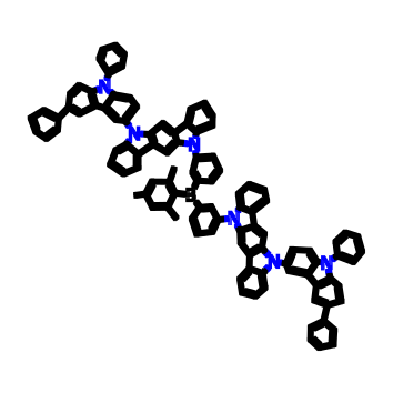 Cc1cc(C)c(B(c2cccc(-n3c4ccccc4c4cc5c(cc43)c3ccccc3n5-c3ccc4c(c3)c3cc(-c5ccccc5)ccc3n4-c3ccccc3)c2)c2cccc(-n3c4ccccc4c4cc5c(cc43)c3ccccc3n5-c3ccc4c(c3)c3cc(-c5ccccc5)ccc3n4-c3ccccc3)c2)c(C)c1